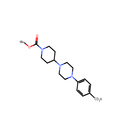 CC(C)(C)OC(=O)N1CCC(N2CCN(c3ccc(C(=O)O)cc3)CC2)CC1